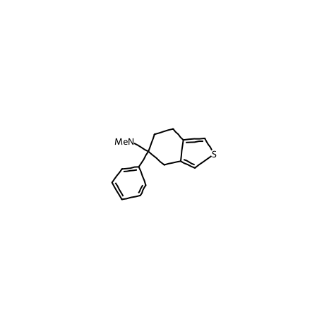 CNC1(c2ccccc2)CCc2cscc2C1